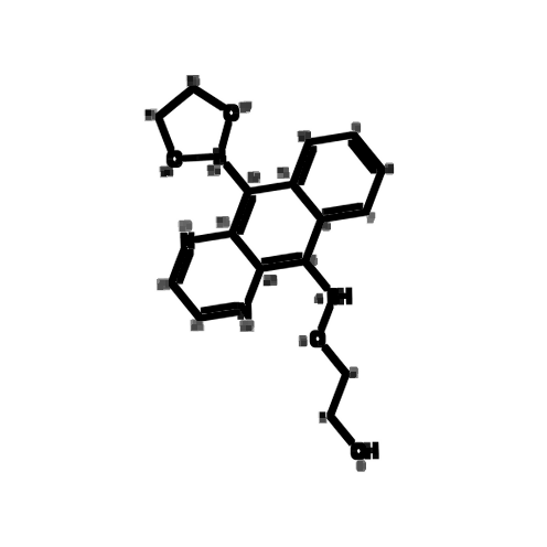 OCCOBc1c2ccccc2c(B2OCCO2)c2nccnc12